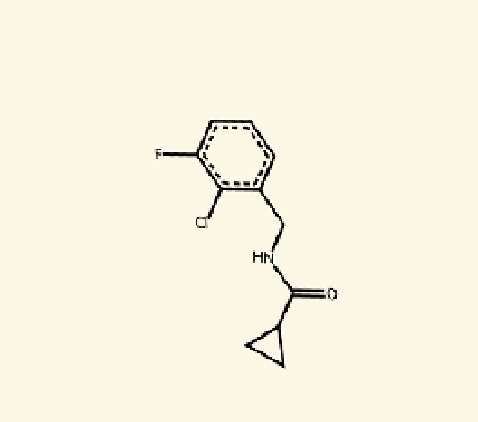 O=C(NCc1cccc(F)c1Cl)C1CC1